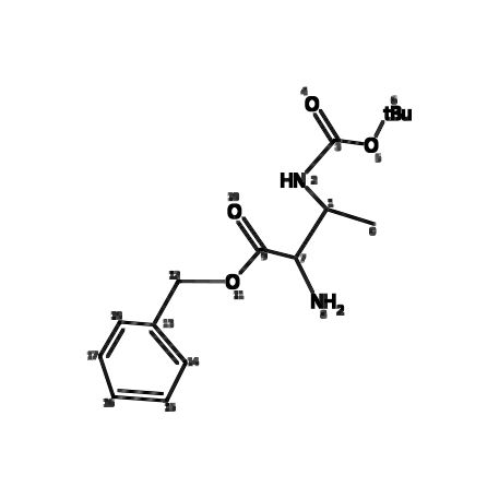 CC(NC(=O)OC(C)(C)C)C(N)C(=O)OCc1ccccc1